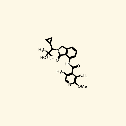 COc1ncc(C)c(C(=O)Nc2cccc3c2C(=O)N(C(C2CC2)C(C)(C)O)C3)c1C